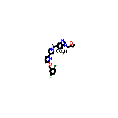 C[C@@H](c1cc2ncn(CC3CCO3)c2cc1C(=O)O)N1CCC(c2cccc(OCc3cc(F)ccc3F)n2)CC1